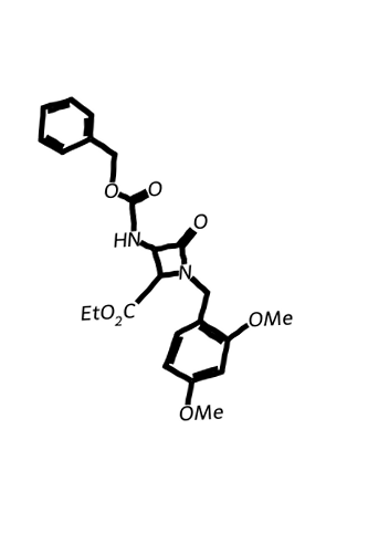 CCOC(=O)C1C(NC(=O)OCc2ccccc2)C(=O)N1Cc1ccc(OC)cc1OC